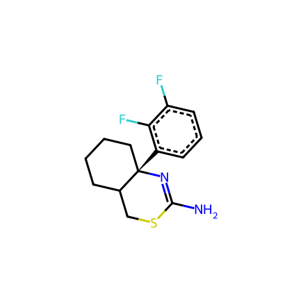 NC1=N[C@@]2(c3cccc(F)c3F)CCCCC2CS1